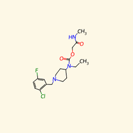 CCN(C(=O)OCC(=O)NC)C1CCN(Cc2cc(F)ccc2Cl)CC1